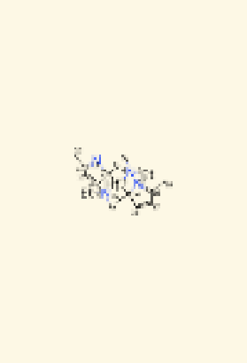 CC[N](C)[Hf]([N](C)CC)([C]1(C)C=CC(C)=N1)[C]1(C)C=CC(C)=N1